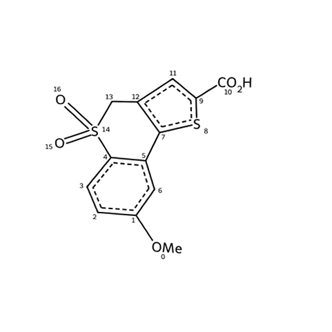 COc1ccc2c(c1)-c1sc(C(=O)O)cc1CS2(=O)=O